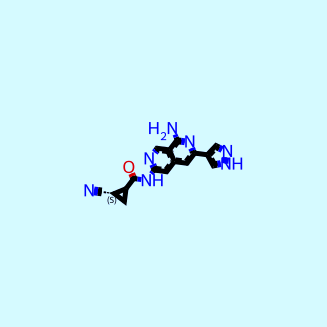 N#C[C@H]1CC1C(=O)Nc1cc2cc(-c3cn[nH]c3)nc(N)c2cn1